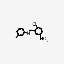 Cc1cccc(/N=C/c2cc([N+](=O)[O-])ccc2Cl)c1